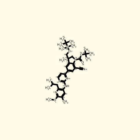 COc1nc(CC(C)C)c(Nc2nccc(-c3cc(C#N)c4c(c3)[C@@](C)(CO[Si](C)(C)C(C)(C)C)CN4C(=O)OC(C)(C)C)n2)cc1C